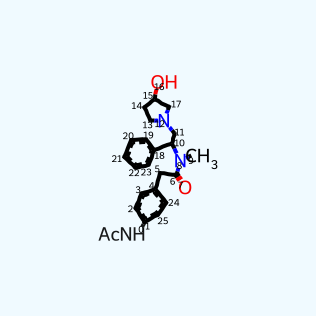 CC(=O)Nc1ccc(CC(=O)N(C)C(CN2CCC(O)C2)c2ccccc2)cc1